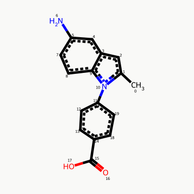 Cc1cc2cc(N)ccc2n1-c1ccc(C(=O)O)cc1